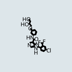 O=C(Nc1cccc(OC[C@H](O)CO)c1)c1cncc2[nH]c(-c3ccc(Cl)cc3C(F)F)nc12